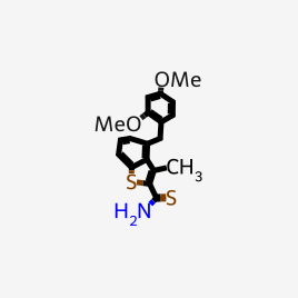 COc1ccc(Cc2cccc3sc(C(N)=S)c(C)c23)c(OC)c1